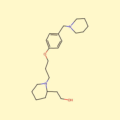 OCCC1CCCCN1CCCOc1ccc(CN2CCCCC2)cc1